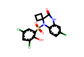 O=C1Nc2cc(F)ccc2N(S(=O)(=O)c2cc(Cl)cc(Cl)c2O)C12CCC2